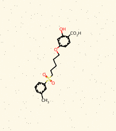 Cc1cccc(S(=O)(=O)CCCCCOc2ccc(C(=O)O)c(O)c2)c1